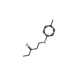 CCC(=O)CCSc1ccc(C)cc1